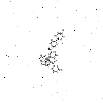 Cc1ccc(C)c(N2Cc3cnc(Nc4ccc(N5CCN(C)CC5)cc4)nc3N(C34CC5CC(CC(C5)C3)C4)C2=O)c1